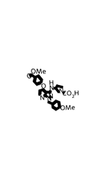 COC(=O)c1ccc(Oc2ccnc3c2c(NC2CCN(C(=O)O)C2)nn3Cc2ccc(OC)cc2)cc1